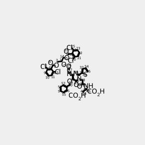 O=C(COC(=O)c1c(Cl)cccc1Cl)COC(=O)c1c(Cl)cccc1Cl.O=C=Nc1nc(-c2cccs2)n(CC(=O)N[C@@H](CC(=O)O)C(=O)O)c(=O)c1OCc1ccccc1